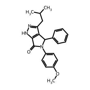 COc1ccc(N2C(=O)c3[nH]nc(CC(C)C)c3C2c2ccccc2)cc1